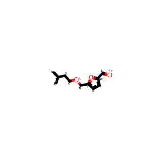 CC(C)CCOCc1ccc(C=O)o1